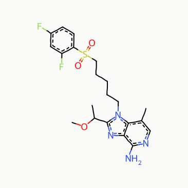 COC(C)c1nc2c(N)ncc(C)c2n1CCCCCS(=O)(=O)c1ccc(F)cc1F